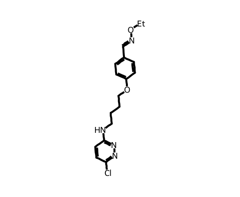 CCON=Cc1ccc(OCCCCNc2ccc(Cl)nn2)cc1